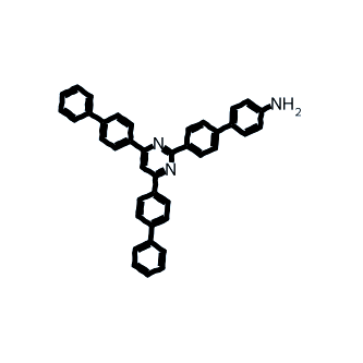 Nc1ccc(-c2ccc(-c3nc(-c4ccc(-c5ccccc5)cc4)cc(-c4ccc(-c5ccccc5)cc4)n3)cc2)cc1